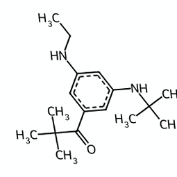 CCNc1cc(NC(C)(C)C)cc(C(=O)C(C)(C)C)c1